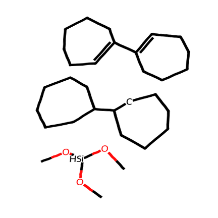 C1=C(C2=CCCCCC2)CCCCC1.C1CCCC(C2CCCCCC2)CC1.CO[SiH](OC)OC